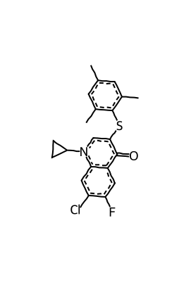 Cc1cc(C)c(Sc2cn(C3CC3)c3cc(Cl)c(F)cc3c2=O)c(C)c1